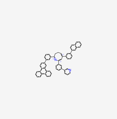 C1=C(c2cccc(-c3cccnc3)c2)\N=C(\c2cccc(-c3ccc4c5ccccc5c5ccccc5c4c3)c2)CC\C=C/1c1cccc(-c2ccc3ccccc3c2)c1